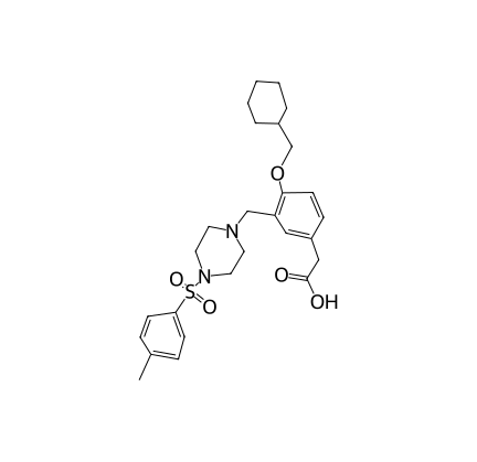 Cc1ccc(S(=O)(=O)N2CCN(Cc3cc(CC(=O)O)ccc3OCC3CCCCC3)CC2)cc1